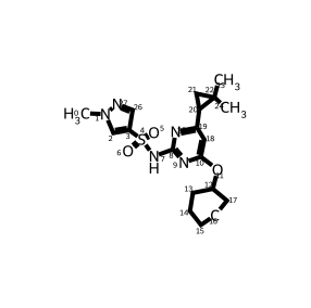 Cn1cc(S(=O)(=O)Nc2nc(OC3CCCCC3)cc(C3CC3(C)C)n2)cn1